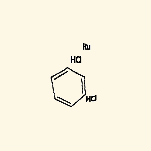 Cl.Cl.[Ru].c1ccccc1